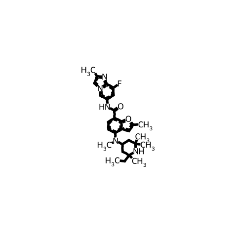 CCC1(C)CC(N(C)c2ccc(C(=O)Nc3cc(F)c4nc(C)cn4c3)c3oc(C)cc23)CC(C)(C)N1